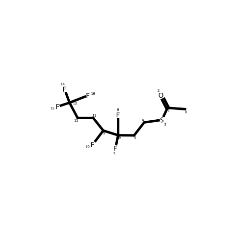 CC(=O)SCCC(F)(F)C(F)CCC(F)(F)F